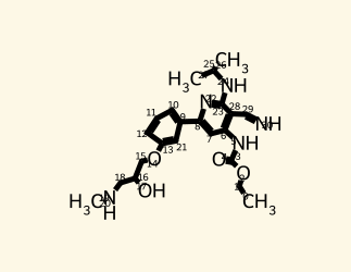 CCOC(=O)Nc1cc(-c2cccc(OCC(O)CNC)c2)nc(NC(C)C)c1C=N